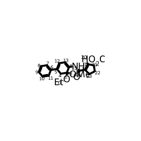 CCOC1(OC)CC(c2ccccc2)=CC=C1NC(=O)C1=C(C(=O)O)CCC1